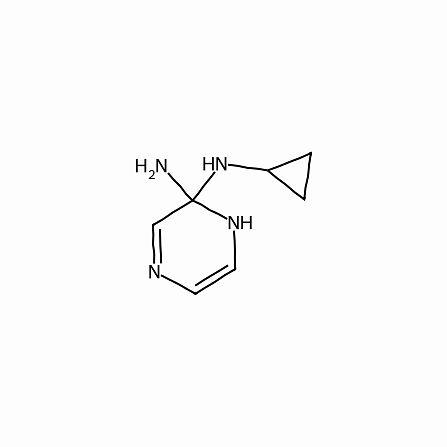 NC1(NC2CC2)C=NC=CN1